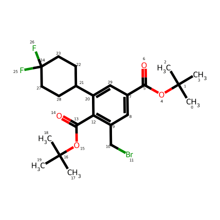 CC(C)(C)OC(=O)c1cc(CBr)c(C(=O)OC(C)(C)C)c(C2CCC(F)(F)CC2)c1